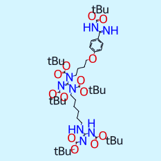 CC(C)(C)OC(=O)/N=C(\NCCCCCCN(C(=O)OC(C)(C)C)/C(=N\C(=O)OC(C)(C)C)N(CCCCOc1ccc(C(=N)NC(=O)OC(C)(C)C)cc1)C(=O)OC(C)(C)C)NC(=O)OC(C)(C)C